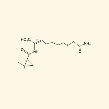 CC1(C)CC1C(=O)N/C(=C\CCCCSCC(N)=O)C(=O)O